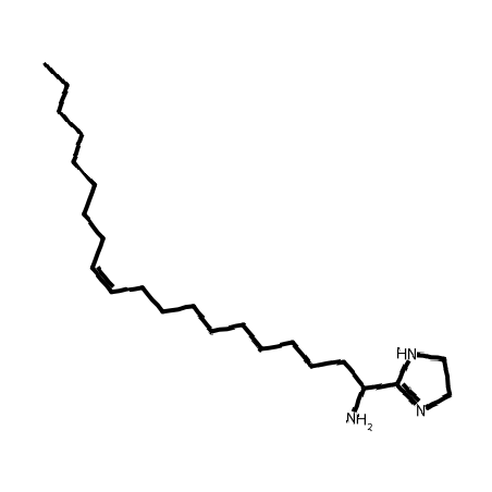 CCCCCCCC/C=C\CCCCCCCCCC(N)C1=NCCN1